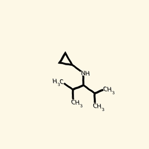 CC(C)C(NC1CC1)C(C)C